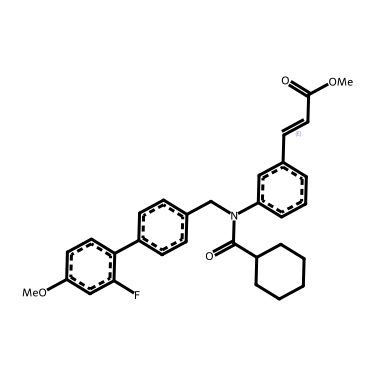 COC(=O)/C=C/c1cccc(N(Cc2ccc(-c3ccc(OC)cc3F)cc2)C(=O)C2CCCCC2)c1